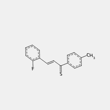 Cc1ccc(C(=S)C=Cc2ccccc2F)cc1